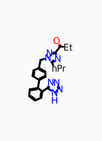 CCCc1nc(C(=O)CC)nn1Cc1ccc(-c2ccccc2-c2nnn[nH]2)cc1